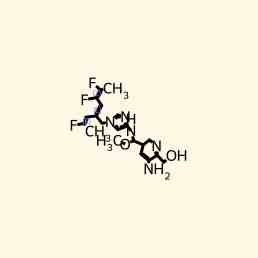 COC(Nc1cn(CC(/C=C(\C)F)=C/C(F)=C(\C)F)cn1)C1C=C(N)C(CO)=NC1